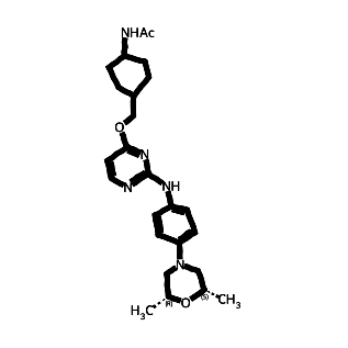 CC(=O)NC1CCC(COc2ccnc(Nc3ccc(N4C[C@@H](C)O[C@@H](C)C4)cc3)n2)CC1